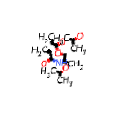 C=CC(N)=O.C=CCOC(=O)C=C.CC(C)=O.CC(C)=O